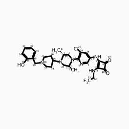 C[C@@H]1CN(c2ncc(Nc3c(NCC(F)(F)F)c(=O)c3=O)cc2Cl)[C@@H](C)CN1C1CCN(Cc2ccccc2O)CC1